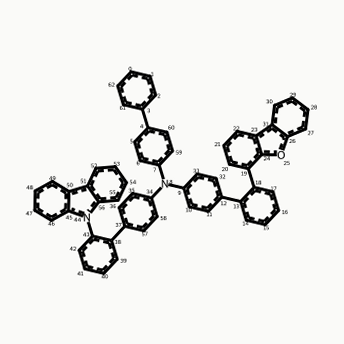 c1ccc(-c2ccc(N(c3ccc(-c4ccccc4-c4cccc5c4oc4ccccc45)cc3)c3ccc(-c4ccccc4-n4c5ccccc5c5ccccc54)cc3)cc2)cc1